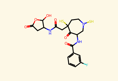 O=C(CC1(S)CCN(S)CC(NC(=O)c2cccc(F)c2)C1=O)NC1CC(=O)OC1O